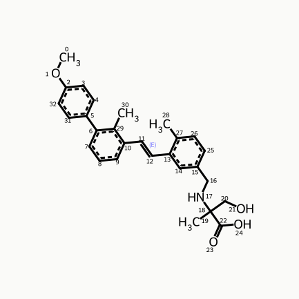 COc1ccc(-c2cccc(/C=C/c3cc(CNC(C)(CO)C(=O)O)ccc3C)c2C)cc1